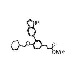 COC(=O)CCc1ccc(OCC2CCCCC2)c(-c2ccc3cc[nH]c3c2)c1